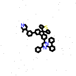 Cc1cnccc1-c1cccc(-c2ccc3c(c2)-c2cc(-c4cc(-c5ccccc5)nc(-c5ccccc5-c5ccccc5)n4)ccc2C32c3ccccc3Sc3ccccc32)c1